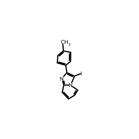 Cc1ccc(-c2nc3ccccn3c2I)cc1